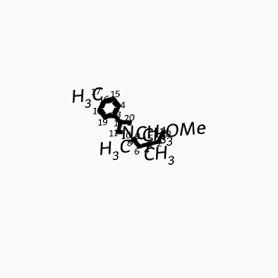 COCCC(C)(C)CC(C)(C)N1CC(c2ccc(C)cc2)C1